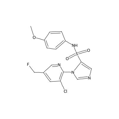 COc1ccc(NS(=O)(=O)c2cncn2-c2ncc(CF)cc2Cl)cc1